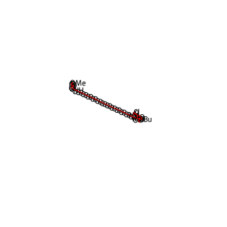 COS(=O)(=O)C1CC(=O)N(OC(=O)CCC(=O)NCCOCCOCCOCCOCCOCCOCCOCCOCCOCCOCCOCCOCCOCCOCCOCCOCCOCCOCCOCCOCCOCCOCCOCCOCCC(=O)NCCC2(C(=O)N[C@@H](Cc3ccc(NC(=O)c4c(Cl)cccc4Cl)cc3)C(=O)OC(C)(C)C)CCCC2)C1=O